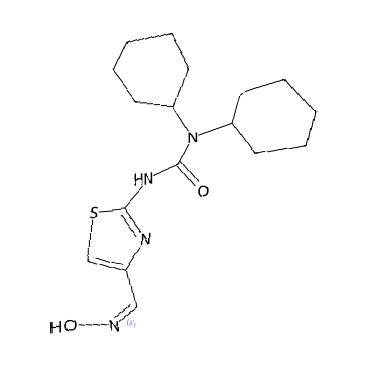 O=C(Nc1nc(/C=N\O)cs1)N(C1CCCCC1)C1CCCCC1